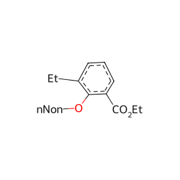 CCCCCCCCCOc1c(CC)cccc1C(=O)OCC